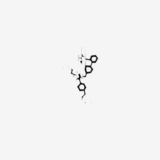 CC(C)CCc1nc(-c2ccc(CCN)cc2)n(Cc2ccc(-c3ccccc3-c3nnn[nH]3)cc2)n1